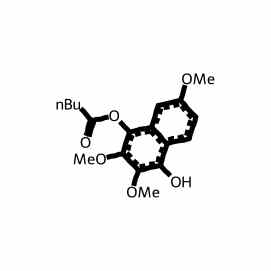 CCCCC(=O)Oc1c(OC)c(OC)c(O)c2ccc(OC)cc12